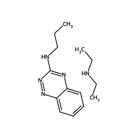 CCCNc1nnc2ccccc2n1.CCNCC